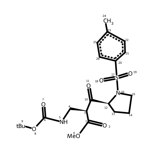 COC(=O)[C@@H](CNC(=O)OC(C)(C)C)C(=O)[C@@H]1CCCN1S(=O)(=O)c1ccc(C)cc1